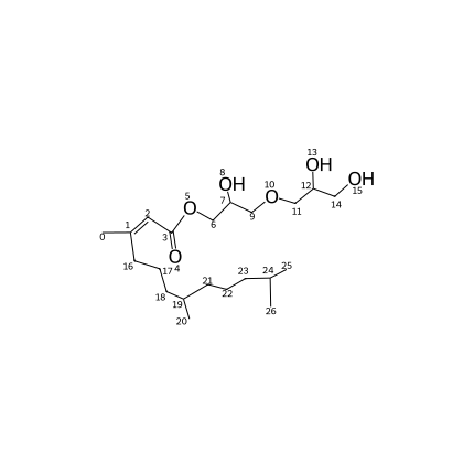 CC(=CC(=O)OCC(O)COCC(O)CO)CCCC(C)CCCC(C)C